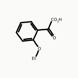 CCOc1ccccc1C(=O)C(=O)O